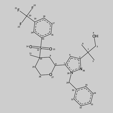 CC(C)(CO)c1cc(C2CC(C)(S(=O)(=O)c3cccc(C(F)(F)F)c3)CCO2)n(Cc2ccccc2)n1